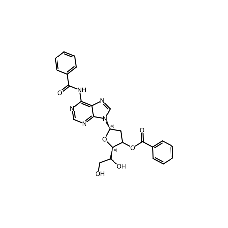 O=C(Nc1ncnc2c1ncn2[C@H]1CC(OC(=O)c2ccccc2)[C@@H](C(O)CO)O1)c1ccccc1